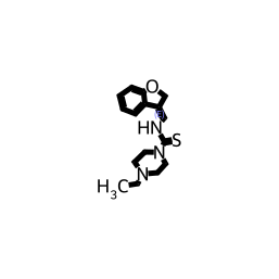 CCN1CCN(C(=S)N/C=C2/COc3ccccc32)CC1